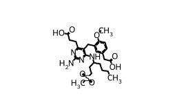 CCCCC(CCS(C)(=O)=O)Nc1nc(N)nc(CCC(=O)O)c1Cc1cc(CC(=O)O)ccc1OC